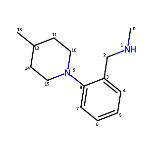 CNCc1ccccc1N1CCC(C)CC1